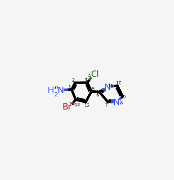 Nc1cc(Cl)c(-c2cnccn2)cc1Br